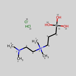 CN(C)CC[N+](C)(C)CCC[Si](O)(O)O.Cl.[Cl-]